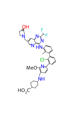 COc1nc(-c2cccc(-c3cccc(Nc4nc(C(F)F)nc5cc(CN6CC[C@@H](O)C6)cnc45)c3C)c2Cl)ccc1CNC1CCC(C(=O)O)CC1